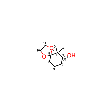 CC1(C)[C@H](O)CCCC12OCCO2